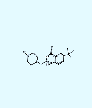 CC(C)(C)c1ccc2[nH]c(CN3CC[S+]([O-])CC3)nc(=O)c2c1